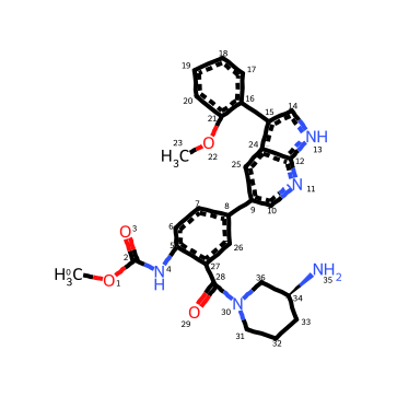 COC(=O)Nc1ccc(-c2cnc3[nH]cc(-c4ccccc4OC)c3c2)cc1C(=O)N1CCC[C@H](N)C1